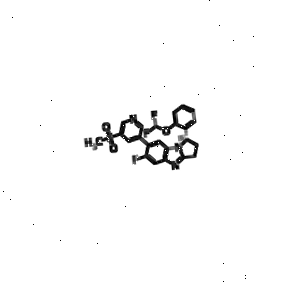 CS(=O)(=O)c1cncc(-c2cc3c(cc2F)nc2n3[C@H](c3ccccc3OC(F)F)CC2)c1